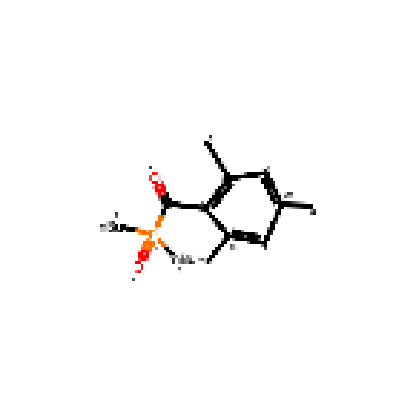 CCCCP(=O)(CCCC)C(=O)c1c(C)cc(C)cc1C